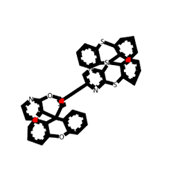 c1ccc2c(c1)Oc1ccccc1C21c2ccc(-c3cnc4c(n3)Sc3ccccc3[Si]43c4ccccc4Sc4ccccc43)cc2Oc2nccnc21